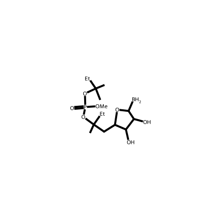 BC1OC(CC(C)(CC)OP(=O)(OC)OC(C)(C)CC)C(O)C1O